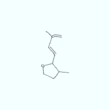 C=C(C)C=CC1OCCC1C